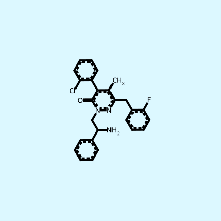 Cc1c(Cc2ccccc2F)nn(CC(N)c2ccccc2)c(=O)c1-c1ccccc1Cl